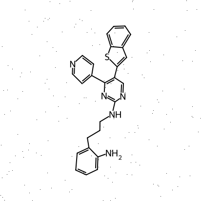 Nc1ccccc1CCCNc1ncc(-c2cc3ccccc3s2)c(-c2ccncc2)n1